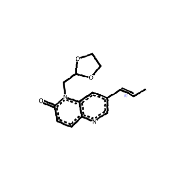 C/C=C/c1cnc2ccc(=O)n(CC3OCCO3)c2c1